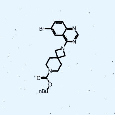 CCCCOC(=O)N1CCC2(CC1)CN(c1ncnc3ccc(Br)cc13)C2